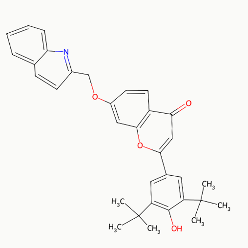 CC(C)(C)c1cc(-c2cc(=O)c3ccc(OCc4ccc5ccccc5n4)cc3o2)cc(C(C)(C)C)c1O